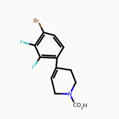 O=C(O)N1CC=C(c2ccc(Br)c(F)c2F)CC1